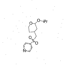 CC(C)OC1CC(CS(=O)(=O)c2ccncc2)CCO1